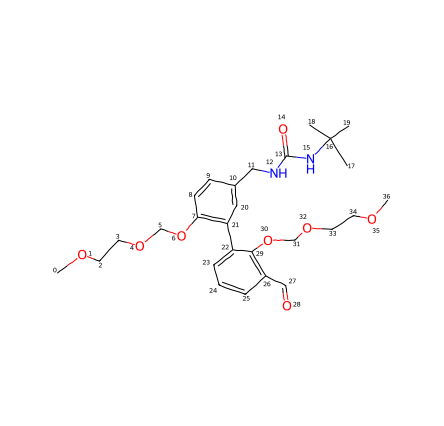 COCCOCOc1ccc(CNC(=O)NC(C)(C)C)cc1-c1cccc(C=O)c1OCOCCOC